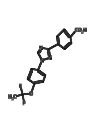 CC(F)(F)Oc1ccc(-n2cnc(-c3ccc(C(=O)O)cc3)n2)cc1